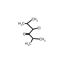 CC(C)C(=O)C(Cl)C(C)C